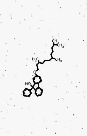 CC(C)CCCC(C)CCCC(C)CCOc1ccc2c(c1)C(O)(c1ccccc1)c1ccccc1-2